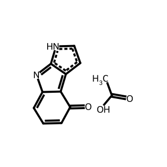 CC(=O)O.O=C1C=CC=C2N=c3[nH]ccc3=C12